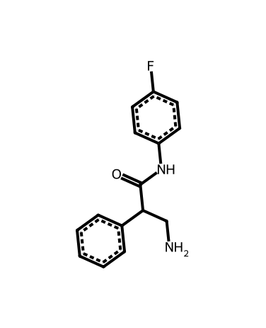 NCC(C(=O)Nc1ccc(F)cc1)c1ccccc1